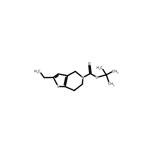 CCc1cc2c(s1)CCN(C(=O)OC(C)(C)C)C2